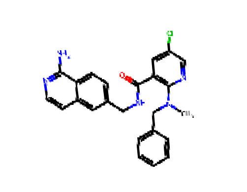 CN(Cc1ccccc1)c1ncc(Cl)cc1C(=O)NCc1ccc2c(N)nccc2c1